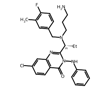 CC[C@H](c1nc2cc(Cl)ccc2c(=O)n1Nc1ccccc1)N(CCCN)Cc1ccc(F)c(C)c1